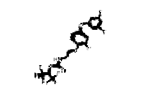 O=C(NCCOc1ccc(Oc2cc(F)cc(F)c2)cc1Cl)OC(C(F)(F)F)C(F)(F)F